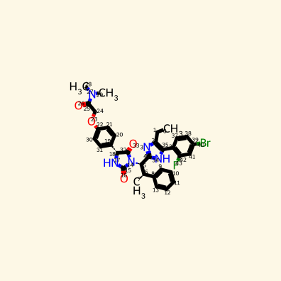 CCc1nc([C@H]([C@@H](C)c2ccccc2)N2C(=O)N[C@H](c3ccc(OCC(=O)N(C)C)cc3)C2=O)[nH]c1-c1ccc(Br)cc1F